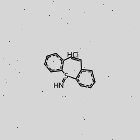 Cl.N=S1c2ccccc2C=Cc2ccccc21